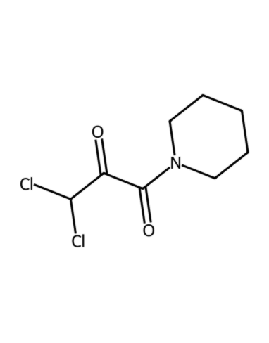 O=C(C(=O)N1CCCCC1)C(Cl)Cl